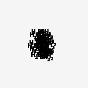 Bc1c(B)c(B)c(-c2cccc(-c3c4c(B)c(B)c(B)c(B)c4c(-c4ccc(-n5c(-c6c(B)c(B)c(B)c(B)c6B)nc6ccccc65)cc4)c4c(B)c(B)c(B)c(B)c34)c2)c(B)c1B